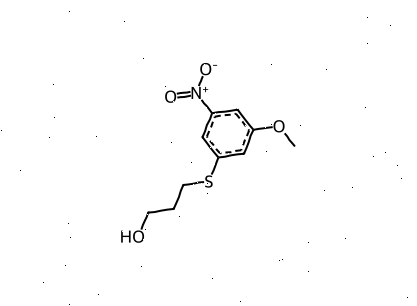 COc1cc(SCCCO)cc([N+](=O)[O-])c1